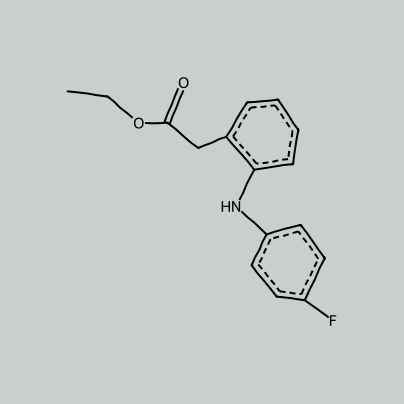 CCOC(=O)Cc1ccccc1Nc1ccc(F)cc1